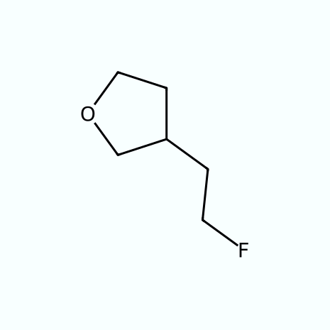 FCCC1CCOC1